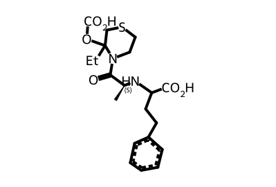 CCC1(OC(=O)O)CSCCN1C(=O)[C@H](C)NC(CCc1ccccc1)C(=O)O